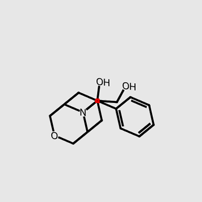 OCC1(O)CC2COCC(C1)N2Cc1ccccc1